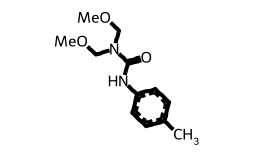 COCN(COC)C(=O)Nc1ccc(C)cc1